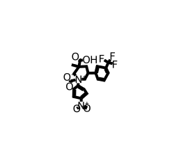 CC1(C(=O)O)CC(c2cccc(C(F)(F)F)c2)C[N+](C(=O)[O-])(c2ccc([N+](=O)[O-])cc2)C1